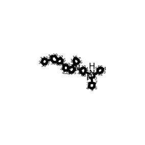 C1=C(c2ccccc2)N=C(c2ccc(-n3c4ccccc4c4c5cc(-c6ccc7ccc(-c8ccccc8)cc7c6)ccc5ccc43)cc2)NC1c1ccccc1